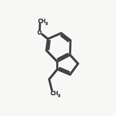 CCC1=CCc2ccc(OC)cc21